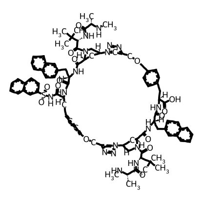 CN[C@@H](C)C(=O)N[C@H](C(=O)N1C[C@@H]2C[C@H]1C(=O)N[C@@H](Cc1ccc3ccccc3c1)C(=O)N[C@H](C(=O)O)Cc1ccc(cc1)OCc1cn(nn1)[C@H]1C[C@@H](C(=O)N[C@@H](Cc3ccc4ccccc4c3)C(=O)N[C@H](C(=O)NS(=O)(=O)c3ccc4ccccc4c3)Cc3ccc(cc3)OCc3cn2nn3)N(C(=O)[C@@H](NC(=O)[C@H](C)NC)C(C)(C)C)C1)C(C)(C)C